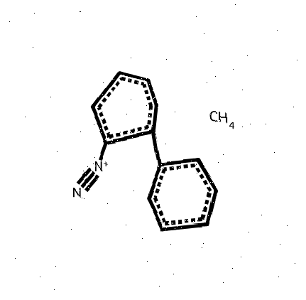 C.N#[N+]c1ccccc1-c1ccccc1